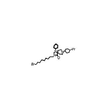 CC(C)C1CCC(N2CCC3(CC2)C(=O)N(CCCCCCCCCBr)CN3c2ccccc2)CC1